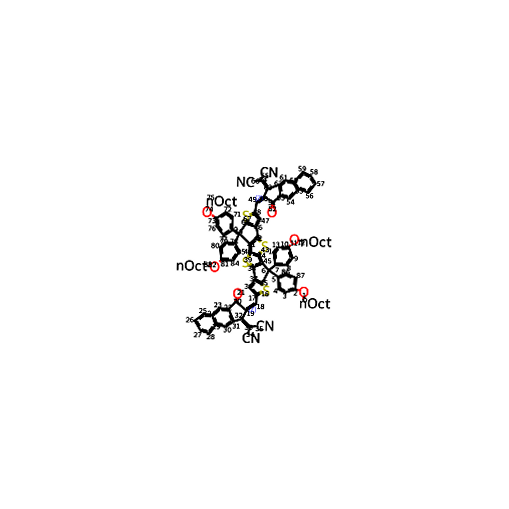 CCCCCCCCOc1ccc(C2(c3ccc(OCCCCCCCC)cc3)c3sc(/C=C4\C(=O)c5cc6ccccc6cc5C4=C(C#N)C#N)cc3-c3sc4c5c(sc4c32)-c2cc(/C=C3\C(=O)c4cc6ccccc6cc4C3=C(C#N)C#N)sc2C5(c2ccc(OCCCCCCCC)cc2)c2ccc(OCCCCCCCC)cc2)cc1